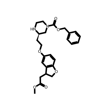 COC(=O)CC1COc2ccc(OCC[C@@H]3CN(C(=O)OCc4ccccc4)CCN3)cc21